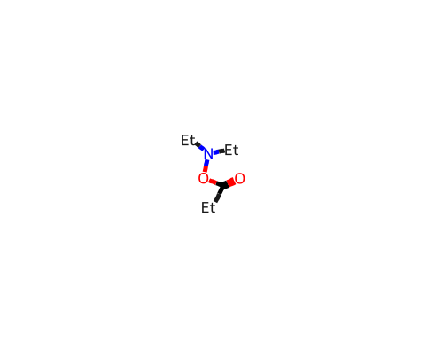 CCC(=O)ON(CC)CC